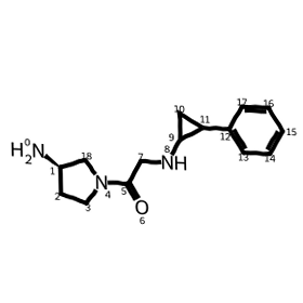 N[C@@H]1CCN(C(=O)CNC2CC2c2ccccc2)C1